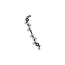 O=C=Nc1ccc(C(=O)OCC(=O)OCC(=O)OCCCOC(=O)COC(=O)COC(=O)c2ccc(N=C=O)cc2)cc1